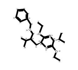 CCOC1=N[C@H](C(C)C)C(OCC)=N[C@H]1CC(COCc1ccccc1)C(C)C